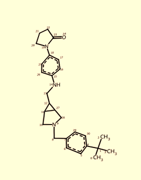 CC(C)(C)c1ccc(CN2CC3C(CNc4ccc(N5CCCC5=O)cc4)C3C2)cc1